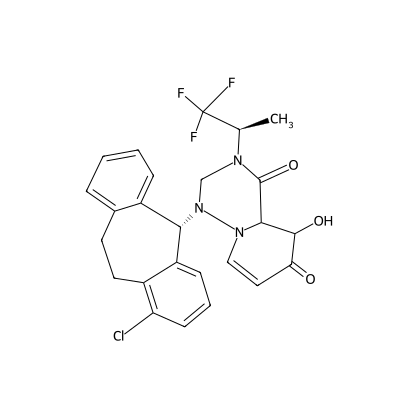 C[C@@H](N1CN([C@H]2c3ccccc3CCc3c(Cl)cccc32)N2C=CC(=O)C(O)C2C1=O)C(F)(F)F